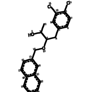 CC(O)C(Cc1ccc(Cl)c(Cl)c1)OCc1ccc2ccccc2c1